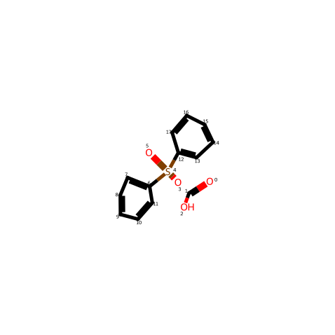 O=CO.O=S(=O)(c1ccccc1)c1ccccc1